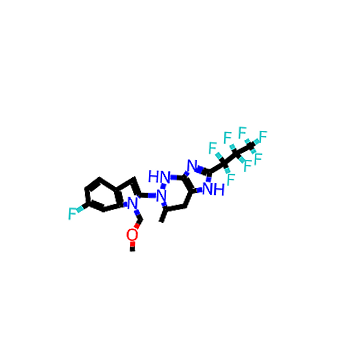 COCn1c(N2Nc3nc(C(F)(F)C(F)(F)C(F)(F)F)[nH]c3CC2C)cc2ccc(F)cc21